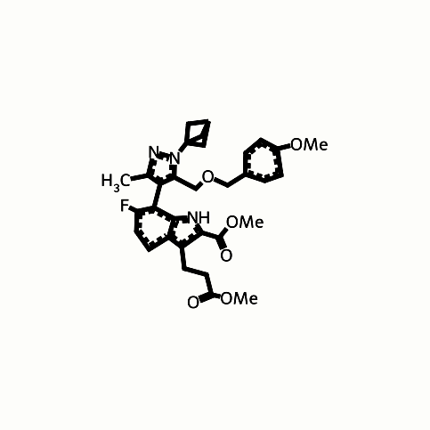 COC(=O)CCc1c(C(=O)OC)[nH]c2c(-c3c(C)nn(C45CC(C4)C5)c3COCc3ccc(OC)cc3)c(F)ccc12